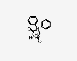 NC(=O)[N+](CC(=O)O)(c1ccccc1)c1ccccc1